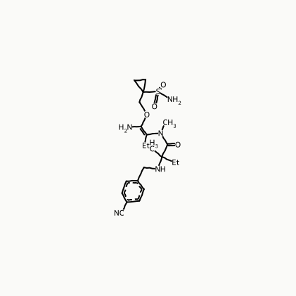 CC/C(=C(\N)OCC1(S(N)(=O)=O)CC1)N(C)C(=O)C(C)(CC)NCc1ccc(C#N)cc1